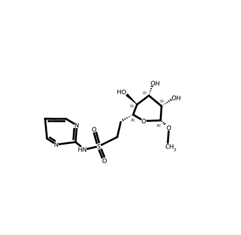 CO[C@@H]1O[C@H](CCS(=O)(=O)Nc2ncccn2)[C@@H](O)[C@H](O)[C@@H]1O